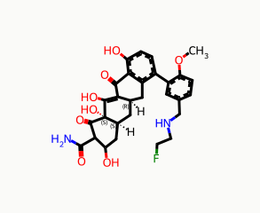 COc1ccc(CNCCF)cc1-c1ccc(O)c2c1C[C@H]1C[C@H]3CC(O)C(C(N)=O)C(=O)[C@@]3(O)C(O)=C1C2=O